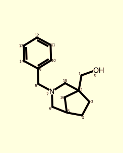 OCC12CCC(CN(Cc3ccccc3)C1)C2